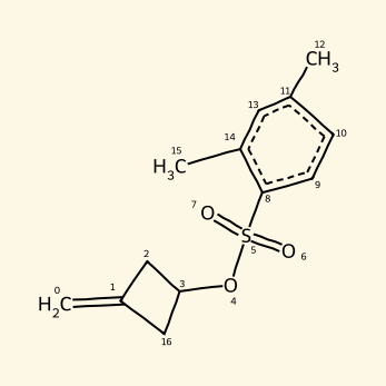 C=C1CC(OS(=O)(=O)c2ccc(C)cc2C)C1